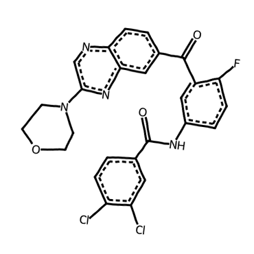 O=C(Nc1ccc(F)c(C(=O)c2ccc3ncc(N4CCOCC4)nc3c2)c1)c1ccc(Cl)c(Cl)c1